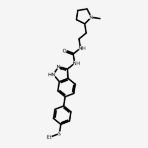 CCSc1ccc(-c2ccc3c(NC(=O)NCCC4CCCN4C)n[nH]c3c2)cc1